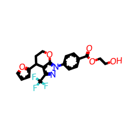 O=C(OCCO)c1ccc(-n2nc(C(F)(F)F)c3c2OCCC3c2ccco2)cc1